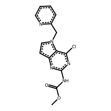 COC(=O)Nc1nc(Cl)c2c(ccn2Cc2ccccn2)n1